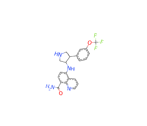 NC(=O)c1ccc(NC2CNCC2c2cccc(OC(F)(F)F)c2)c2cccnc12